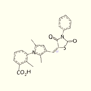 Cc1c(C(=O)O)cccc1-n1c(C)cc(/C=C2/SC(=O)N(c3ccccc3)C2=O)c1C